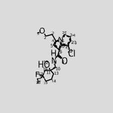 COCCc1cc(C(=O)NC[C@]2(O)CCCC(F)(F)C2)c2c(Cl)cccn12